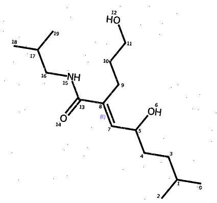 CC(C)CCC(O)/C=C(\CCCO)C(=O)NCC(C)C